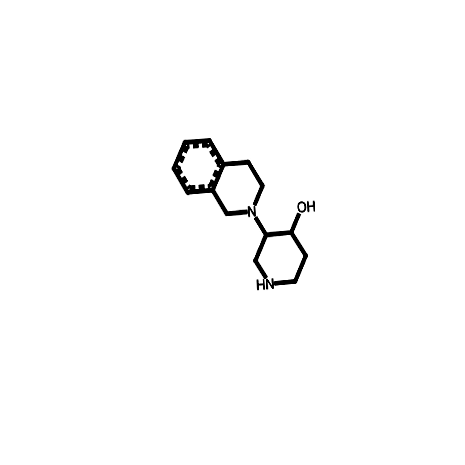 OC1CCNCC1N1CCc2ccccc2C1